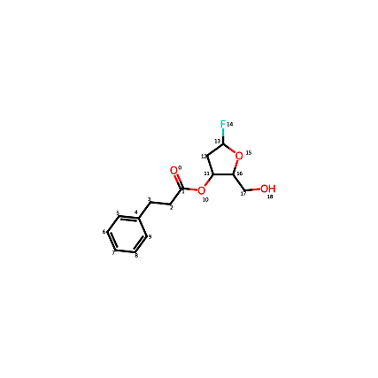 O=C(CCc1ccccc1)OC1CC(F)OC1CO